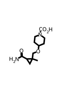 CC1(COC2CCN(C(=O)O)CC2)CC1C(N)=O